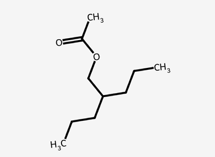 CCCC(CCC)COC(C)=O